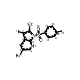 CCc1c(I)c2cc(Br)cnc2n1S(=O)(=O)c1ccc(C)cc1